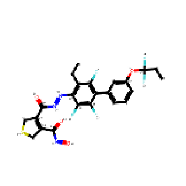 CCc1c(F)c(-c2cccc(OC(F)(F)CC)c2)c(F)c(F)c1N=NC(=O)C1=C(C(=O)N=O)CSC1